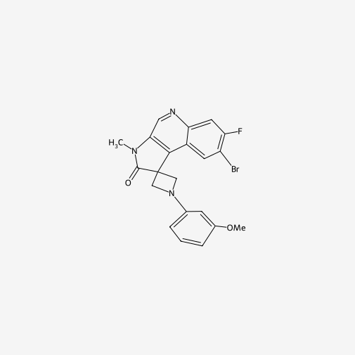 COc1cccc(N2CC3(C2)C(=O)N(C)c2cnc4cc(F)c(Br)cc4c23)c1